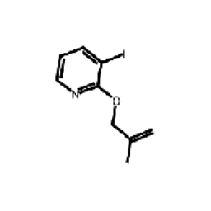 C=C(C)COc1ncccc1I